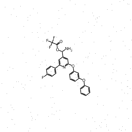 NC(OC(=O)C(F)(F)F)c1cc(Oc2cccc(Oc3ccccc3)c2)nc(-c2ccc(F)cc2)c1